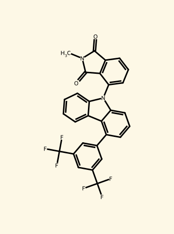 CN1C(=O)c2cccc(-n3c4ccccc4c4c(-c5cc(C(F)(F)F)cc(C(F)(F)F)c5)cccc43)c2C1=O